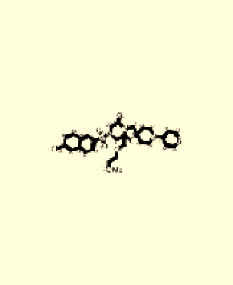 COCCOCC12CN(S(=O)(=O)c3ccc4cc(Cl)ccc4c3)CC(=O)N1CC1(CCN(c3ccncc3)CC1)O2